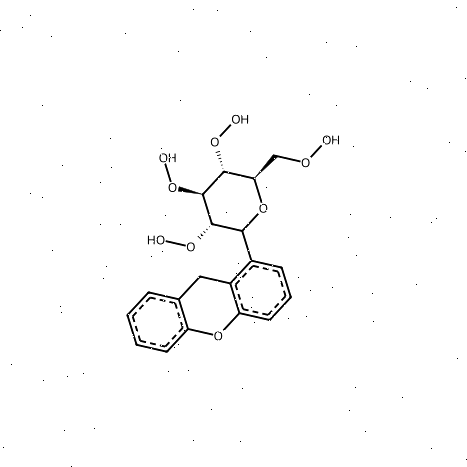 OOC[C@H]1OC(c2cccc3c2Cc2ccccc2O3)[C@H](OO)[C@@H](OO)[C@@H]1OO